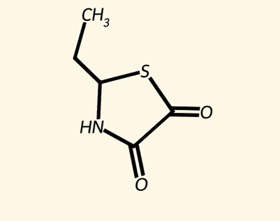 CCC1NC(=O)C(=O)S1